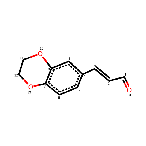 O=C/C=C/c1ccc2c(c1)OCCO2